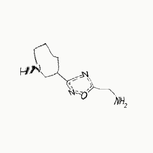 NCc1nc(C2CCCNC2)no1